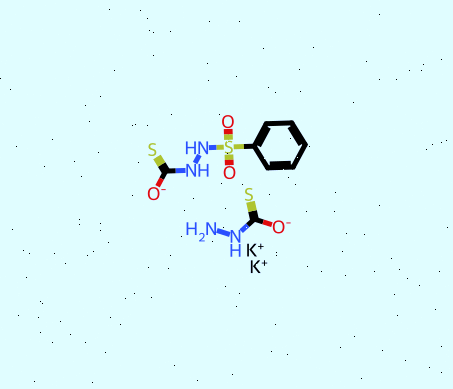 NNC([O-])=S.O=S(=O)(NNC([O-])=S)c1ccccc1.[K+].[K+]